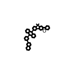 CC1(C)c2ccc(-c3c4ccccc4c(-c4cccc(-c5ccc6ccccc6c5)c4)c4ccccc34)cc2-c2cc3oc4ccccc4c3cc21